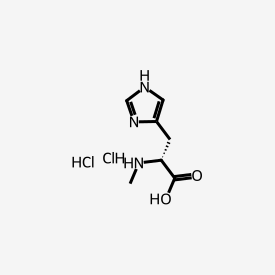 CN[C@H](Cc1c[nH]cn1)C(=O)O.Cl.Cl